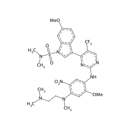 COc1ccc2c(-c3nc(Nc4cc([N+](=O)[O-])c(N(C)CCN(C)C)cc4OC)ncc3C(F)(F)F)cn(S(=O)(=O)N(C)C)c2c1